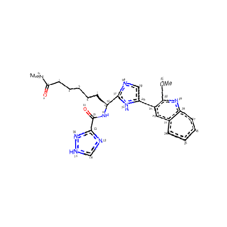 CNC(=O)CCCCC[C@H](NC(=O)c1nc[nH]n1)c1ncc(-c2cc3ccccc3nc2OC)[nH]1